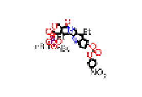 CCCCOP(=O)(OCCCC)OC1(CC)C(=O)OCc2c1cc1n(c2=O)Cc2c-1nc1ccc(OC(=O)Oc3ccc([N+](=O)[O-])cc3)cc1c2CC